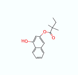 CCC(C)(C)C(=O)Oc1cc(O)c2ccccc2c1